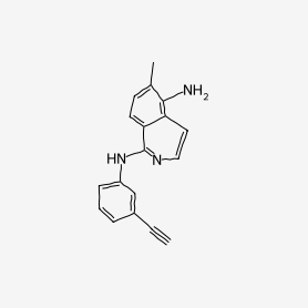 C#Cc1cccc(Nc2nccc3c(N)c(C)ccc23)c1